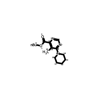 CCCCOC(=O)c1n[c]nc(N2CCCCC2)c1C